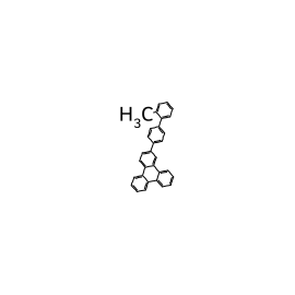 Cc1ccccc1-c1ccc(-c2ccc3c4ccccc4c4ccccc4c3c2)cc1